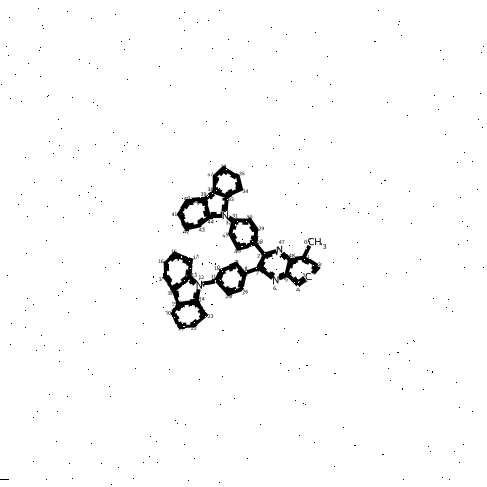 Cc1cccc2nc(-c3ccc(-n4c5ccccc5c5ccccc54)cc3)c(-c3ccc(-n4c5ccccc5c5ccccc54)cc3)nc12